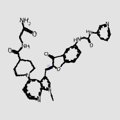 Cn1cc(/C=C2\Oc3ccc(NC(=O)Nc4cccnc4)cc3C2=O)c2c(N3CCC(C(=O)NCC(N)=O)CC3)ccnc21